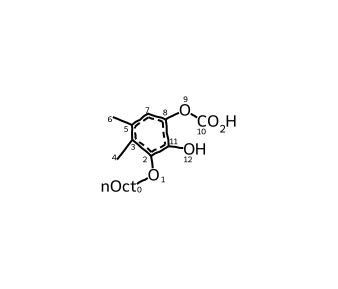 CCCCCCCCOc1c(C)c(C)cc(OC(=O)O)c1O